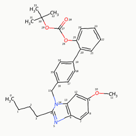 CCCCc1nc2ccc(OC)cc2n1Cc1ccc(-c2ccccc2OC(=O)OC(C)(C)C)cc1